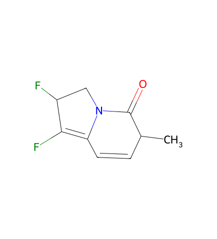 CC1C=CC2=C(F)C(F)CN2C1=O